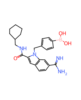 N=C(N)c1ccc2cc(C(=O)NCC3CCCCC3)n(Cc3ccc(B(O)O)cc3)c2c1